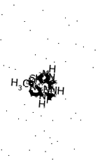 CC(=O)N1CCCC(NC2=C(F)CNC(c3c[nH]c4ncc(Cl)cc34)=N2)CC1